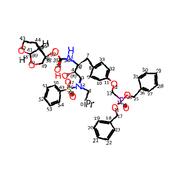 CC(C)CN(C[C@@H](O)[C@H](Cc1ccc(OCP(=O)(OCc2ccccc2)OCc2ccccc2)cc1)NC(=O)O[C@H]1CO[C@H]2OCC[C@H]21)S(=O)(=O)c1ccccc1